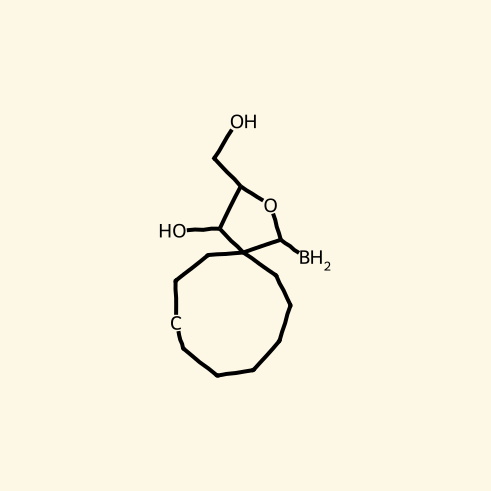 BC1OC(CO)C(O)C12CCCCCCCCC2